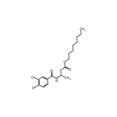 CCCCCCCCOC(=O)CC(C)NC(=O)c1ccc(Cl)c(Cl)c1